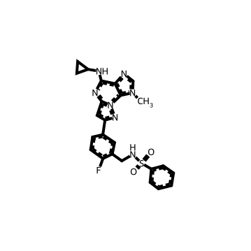 Cn1cnc2c(NC3CC3)nc3cc(-c4ccc(F)c(CNS(=O)(=O)c5ccccc5)c4)nn3c21